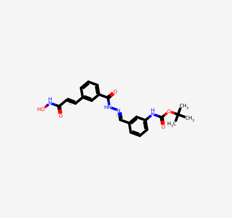 CC(C)(C)OC(=O)Nc1cccc(/C=N/NC(=O)c2cccc(/C=C/C(=O)NO)c2)c1